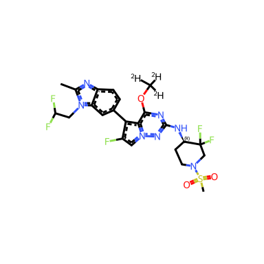 [2H]C([2H])([2H])Oc1nc(N[C@@H]2CCN(S(C)(=O)=O)CC2(F)F)nn2cc(F)c(-c3ccc4nc(C)n(CC(F)F)c4c3)c12